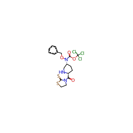 O=C([C@@H]1CC[C@@H](N(OCc2ccccc2)C(=O)OC(Cl)(Cl)Cl)CN1)N1CCSC1=S